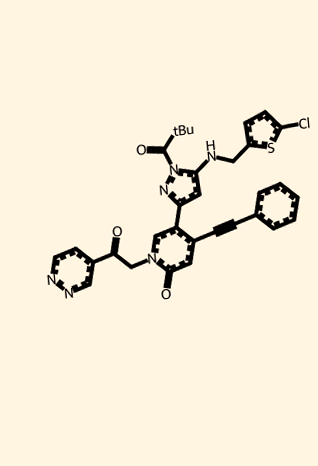 CC(C)(C)C(=O)n1nc(-c2cn(CC(=O)c3ccnnc3)c(=O)cc2C#Cc2ccccc2)cc1NCc1ccc(Cl)s1